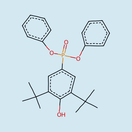 CC(C)(C)c1cc(P(=O)(Oc2ccccc2)Oc2ccccc2)cc(C(C)(C)C)c1O